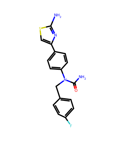 NC(=O)N(Cc1ccc(F)cc1)c1ccc(-c2csc(N)n2)cc1